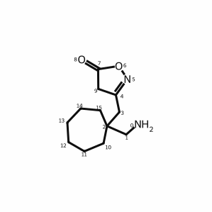 NCC1(CC2=NOC(=O)C2)CCCCCC1